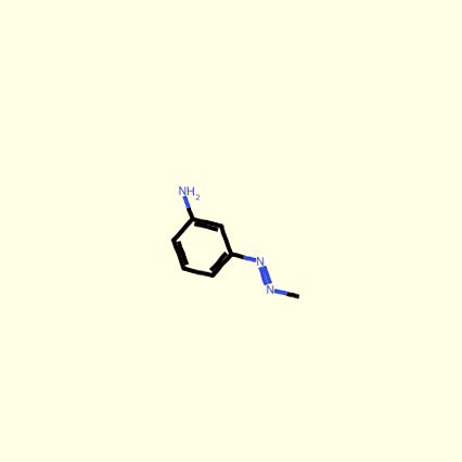 CN=Nc1cccc(N)c1